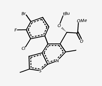 COC(=O)[C@@H](OC(C)(C)C)c1c(C)nc2sc(C)cc2c1-c1ccc(Br)c(F)c1Cl